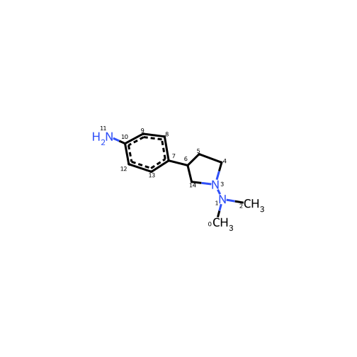 CN(C)N1CCC(c2ccc(N)cc2)C1